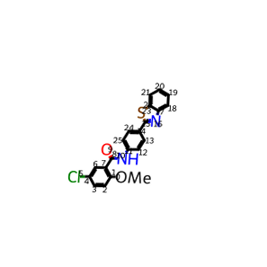 COc1ccc(Cl)cc1C(=O)Nc1ccc(-c2nc3ccccc3s2)cc1